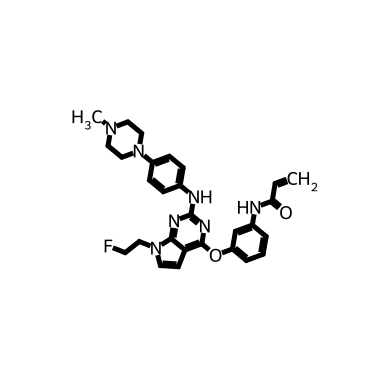 C=CC(=O)Nc1cccc(Oc2nc(Nc3ccc(N4CCN(C)CC4)cc3)nc3c2ccn3CCF)c1